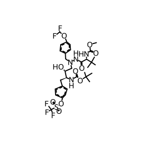 COC(=O)N[C@H](C(=O)NN(Cc1ccc(OC(F)F)cc1)C[C@H](O)[C@H](Cc1ccc(OS(=O)(=O)C(F)(F)F)cc1)NC(=O)OC(C)(C)C)C(C)(C)C